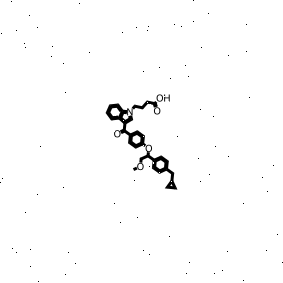 COCC(Oc1ccc(C(=O)c2cn(CCCC(=O)O)c3ccccc23)cc1)c1ccc(CC2CC2)cc1